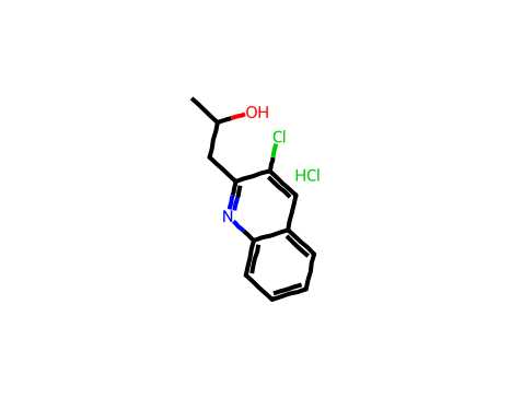 CC(O)Cc1nc2ccccc2cc1Cl.Cl